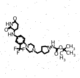 CC(C)(C)OC(=O)NN1CCC(CN2CCN(c3ccc(NC4CCC(=O)NC4=O)cc3C(F)(F)F)CC2)CC1